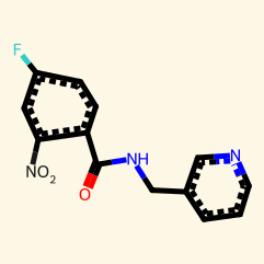 O=C(NCc1cccnc1)c1ccc(F)cc1[N+](=O)[O-]